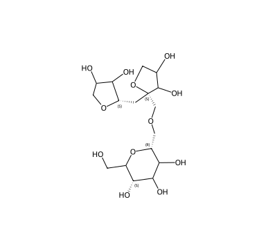 OCC1O[C@H](COC[C@]2(C[C@@H]3OCC(O)C3O)OCC(O)C2O)C(O)C(O)[C@@H]1O